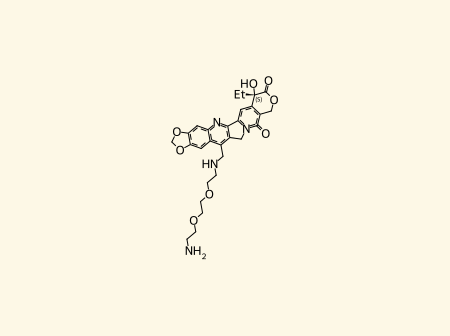 CC[C@@]1(O)C(=O)OCc2c1cc1n(c2=O)Cc2c-1nc1cc3c(cc1c2CNCCOCCOCCN)OCO3